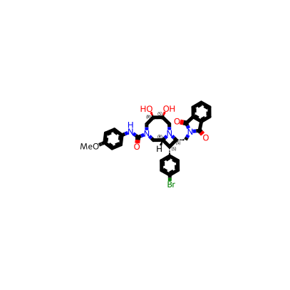 COc1ccc(NC(=O)N2C[C@@H](O)[C@@H](O)CN3[C@H](CN4C(=O)c5ccccc5C4=O)[C@H](c4ccc(Br)cc4)[C@@H]3C2)cc1